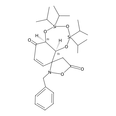 CC(C)[Si]1(C(C)C)O[C@@H]2C(=O)C=CC3(CC(=O)ON3Cc3ccccc3)[C@@H]2O[Si](C(C)C)(C(C)C)O1